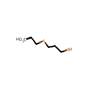 O=C(O)CCSCCCS